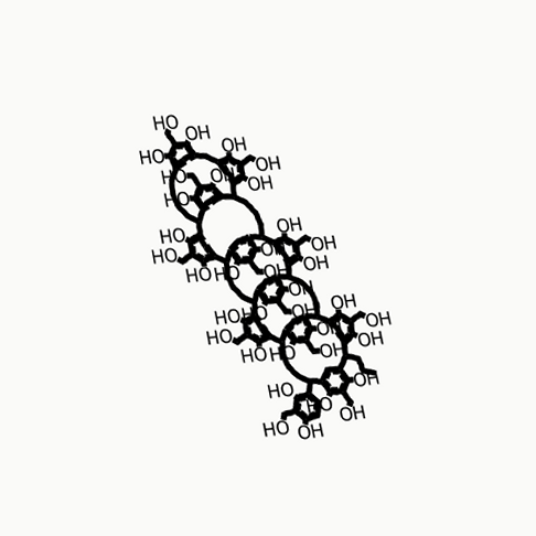 CCCC1c2cc(c(O)c(CO)c2O)C(c2ccc(O)c(CO)c2O)CCCC2c3cc(c(O)c(CO)c3O)C(CCCC3c4cc(c(O)c(CO)c4O)C4CCCC5c6cc(c(O)c(CO)c6O)Cc6cc(c(O)c(CO)c6O)CCCCC(c6cc5c(O)c(CO)c6O)c5cc(c(O)c(CO)c5O)C(CCCC(c5cc2c(O)c(CO)c5O)c2cc3c(O)c(CO)c2O)c2cc4c(O)c(CO)c2O)c2cc1c(O)c(CO)c2O